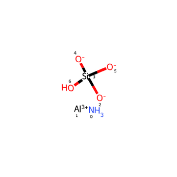 N.[Al+3].[O-][Si]([O-])([O-])O